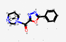 O=C(c1nnc(-c2ccccc2)o1)N1CCN2CCC1CC2